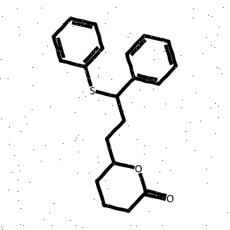 O=C1CCCC(CCC(Sc2ccccc2)c2ccccc2)O1